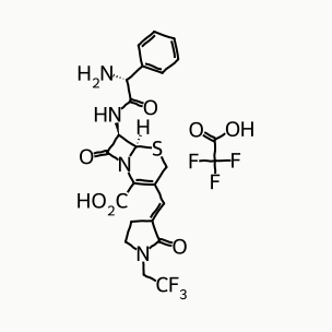 N[C@@H](C(=O)N[C@@H]1C(=O)N2C(C(=O)O)=C(C=C3CCN(CC(F)(F)F)C3=O)CS[C@H]12)c1ccccc1.O=C(O)C(F)(F)F